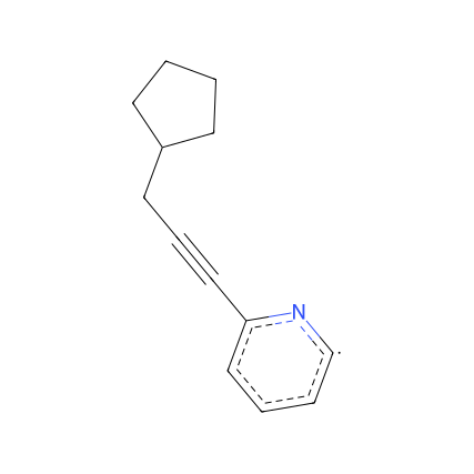 C(#Cc1ccc[c]n1)CC1CCCC1